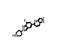 Cn1cc2nc(-c3cc(F)c4nn(C5CCNCC5)cc4c3)ccc2n1